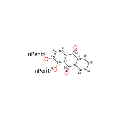 CCCCCOc1ccc2c(c1OCCCCC)C(=O)c1ccccc1C2=O